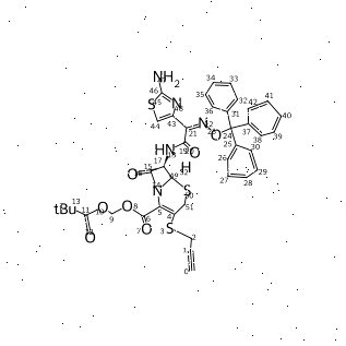 C#CCSC1=C(C(=O)OCOC(=O)C(C)(C)C)N2C(=O)[C@@H](NC(=O)/C(=N\OC(c3ccccc3)(c3ccccc3)c3ccccc3)c3csc(N)n3)[C@H]2SC1